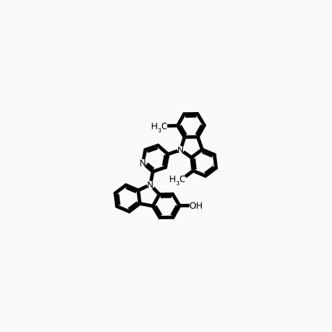 Cc1cccc2c3cccc(C)c3n(-c3ccnc(-n4c5ccccc5c5ccc(O)cc54)c3)c12